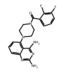 Nc1nc(N)c2c(N3CCN(C(=O)c4cccc(F)c4F)CC3)cccc2n1